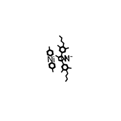 CCCCc1c(C)cc(C2=CC(C)=C(c3cc(C)c(CCCC)c(C)c3)[N+]2=[N-])cc1C.Cc1cc[c]([Ni][c]2ccc(C)cc2)cc1